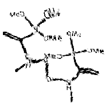 C=C([SiH](C)OO[SiH](C)C(=C)[Si](OC)(OC)OC)[Si](OC)(OC)OC